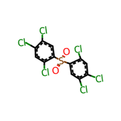 O=S(=O)(c1cc(Cl)c(Cl)cc1Cl)c1cc(Cl)c(Cl)cc1Cl